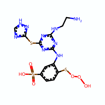 NCCNc1nc(Nc2cc(S(=O)(=O)O)ccc2SOOO)nc(Sc2nc[nH]n2)n1